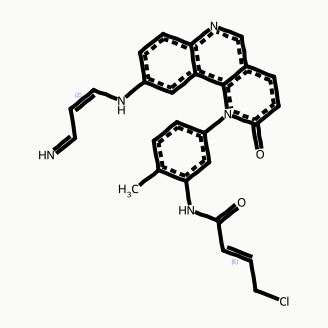 Cc1ccc(-n2c(=O)ccc3cnc4ccc(N/C=C\C=N)cc4c32)cc1NC(=O)/C=C/CCl